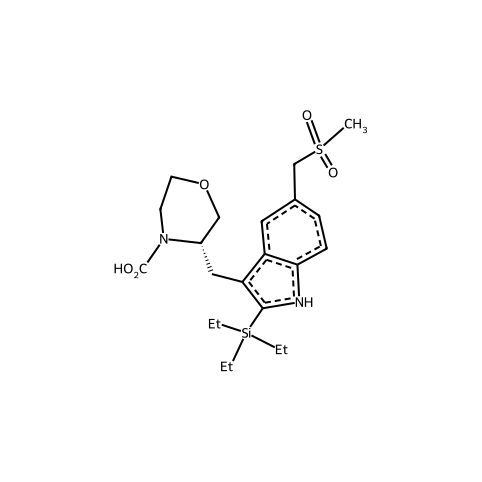 CC[Si](CC)(CC)c1[nH]c2ccc(CS(C)(=O)=O)cc2c1C[C@H]1COCCN1C(=O)O